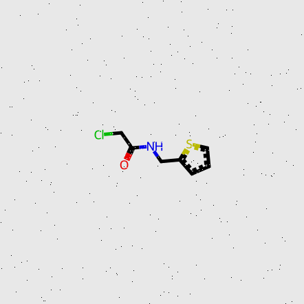 O=C(CCl)NCc1cccs1